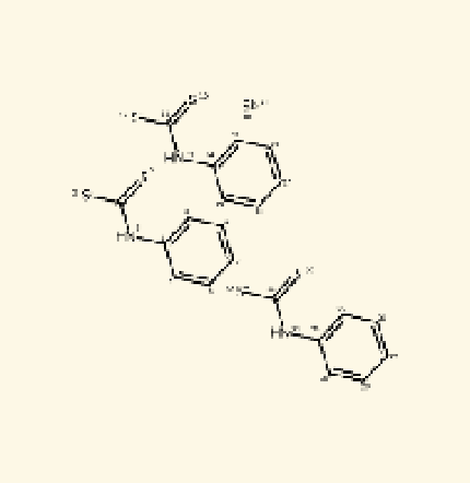 S=C([S-])Nc1ccccc1.S=C([S-])Nc1ccccc1.S=C([S-])Nc1ccccc1.[Sb+3]